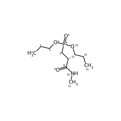 CCCOP(=O)(CCC(=O)NC)OCCC